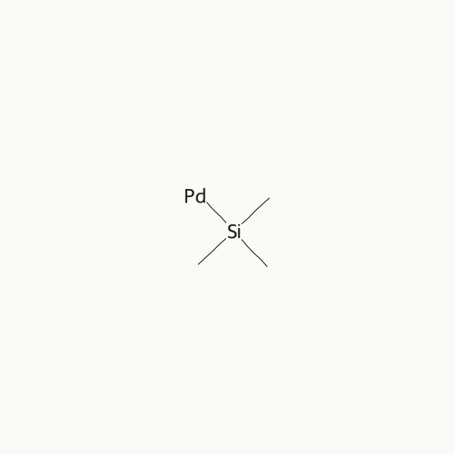 C[Si](C)(C)[Pd]